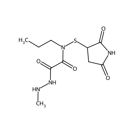 CCCN(SC1CC(=O)NC1=O)C(=O)C(=O)NNC